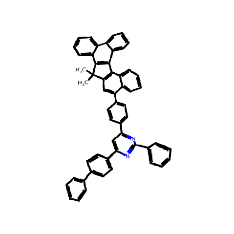 CC1(C)c2cc(-c3ccc(-c4cc(-c5ccc(-c6ccccc6)cc5)nc(-c5ccccc5)n4)cc3)c3ccccc3c2-c2c1c1ccccc1c1ccccc21